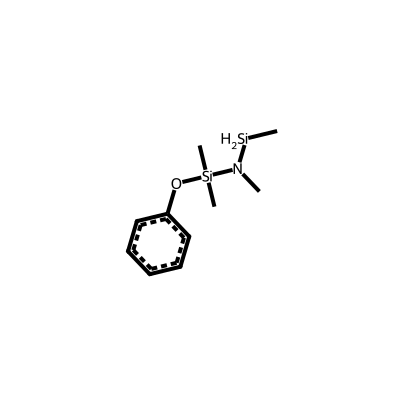 C[SiH2]N(C)[Si](C)(C)Oc1ccccc1